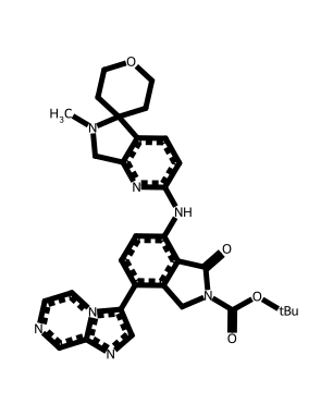 CN1Cc2nc(Nc3ccc(-c4cnc5cnccn45)c4c3C(=O)N(C(=O)OC(C)(C)C)C4)ccc2C12CCOCC2